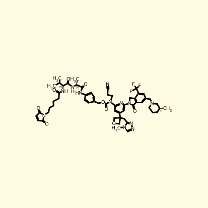 CC(C)[C@H](NC(=O)CCCCCN1C(=O)C=CC1=O)C(=O)N[C@@H](C)C(=O)Nc1ccc(COC(=O)N(CCC#N)c2cc(C3(Cc4nncn4C)COC3)cc(N3Cc4c(cc(CN5CCC[C@H](C)C5)cc4C(F)(F)F)C3=O)n2)cc1